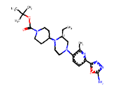 CC[C@H]1CN(c2ccc(-c3nnc(N)o3)nc2C)CCN1C1CCN(C(=O)OC(C)(C)C)CC1